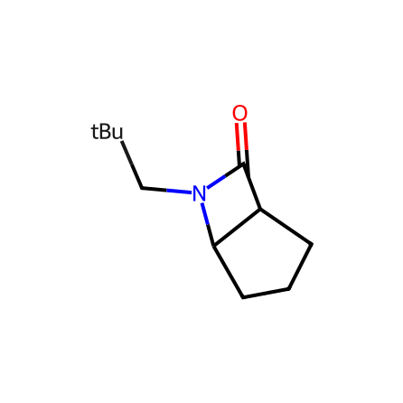 CC(C)(C)CN1C(=O)C2CCCC21